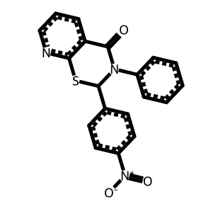 O=C1c2cccnc2SC(c2ccc([N+](=O)[O-])cc2)N1c1ccccc1